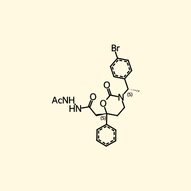 CC(=O)NNC(=O)C[C@]1(c2ccccc2)CCN([C@@H](C)c2ccc(Br)cc2)C(=O)O1